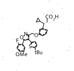 COc1ccc(F)c(-c2onc(COc3cccc([C@@H](CC(=O)O)C4CC4)c3)c2-c2ccc(C(C)(C)C)s2)c1